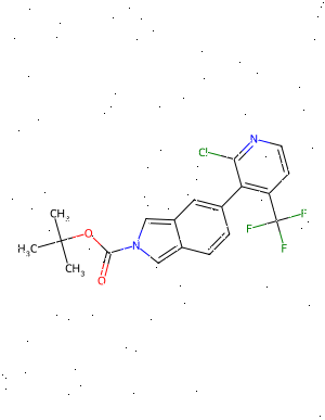 CC(C)(C)OC(=O)n1cc2ccc(-c3c(C(F)(F)F)ccnc3Cl)cc2c1